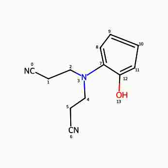 N#CCCN(CCC#N)c1ccccc1O